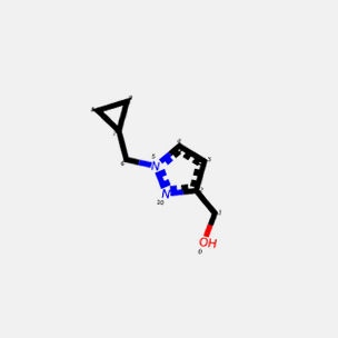 OCc1ccn(CC2CC2)n1